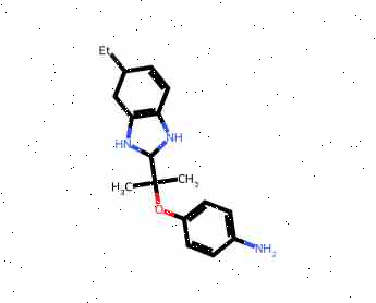 CCC1C=CC2=C(C1)NC(C(C)(C)Oc1ccc(N)cc1)N2